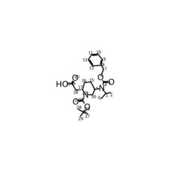 CC(C)N(C(=O)OCc1ccccc1)[C@@H]1CC[C@H](CC(=O)O)N(C(=O)OC(C)(C)C)C1